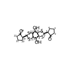 O=C1CCCC1=C1Sc2c(O)c3c(c(O)c2S1)SC(=C1CCCC1=O)S3